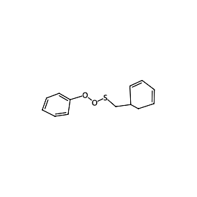 C1=CCC(CSOOc2ccccc2)C=C1